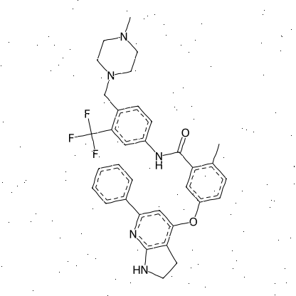 Cc1ccc(Oc2cc(-c3ccccc3)nc3c2CCN3)cc1C(=O)Nc1ccc(CN2CCN(C)CC2)c(C(F)(F)F)c1